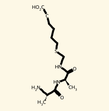 C[C@H](N)C(=O)N[C@H](C)C(=O)NCSCCCCCC(=O)O